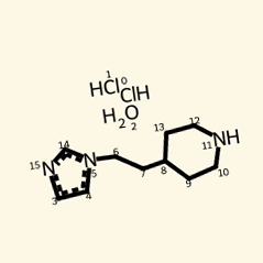 Cl.Cl.O.c1cn(CCC2CCNCC2)cn1